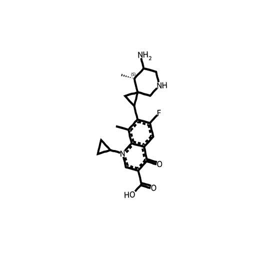 Cc1c(C2CC23CNCC(N)[C@H]3C)c(F)cc2c(=O)c(C(=O)O)cn(C3CC3)c12